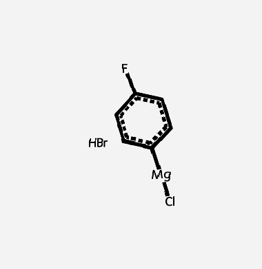 Br.Fc1cc[c]([Mg][Cl])cc1